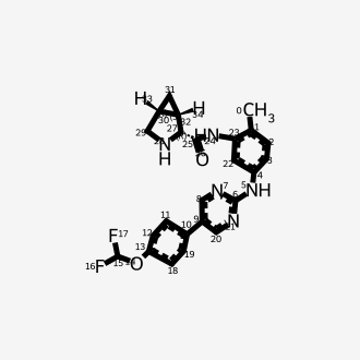 Cc1ccc(Nc2ncc(-c3ccc(OC(F)F)cc3)cn2)cc1NC(=O)[C@@H]1NC[C@@H]2C[C@@H]21